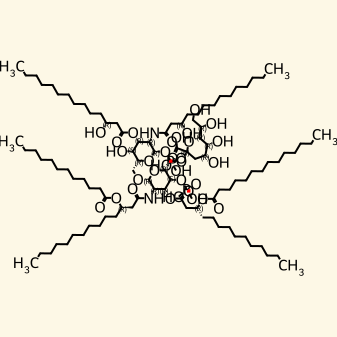 CCCCCCCCCCCCCC(=O)O[C@H](CCCCCCCCCCC)CC(=O)O[C@@H]1[C@@H](NC(=O)C[C@@H](CCCCCCCCCCC)OC(=O)CCCCCCCCCCC)[C@H](OC[C@H]2O[C@H](OP(=O)(O)O)[C@H](NC(=O)C[C@H](O)CCCCCCCCCCC)[C@@H](OC(=O)C[C@H](O)CCCCCCCCCCC)[C@@H]2O)O[C@H](CO[C@]2(C(=O)O)C[C@@H](O)[C@@H](O)[C@@H]([C@H](O)CO)O2)[C@H]1OP(=O)(O)O